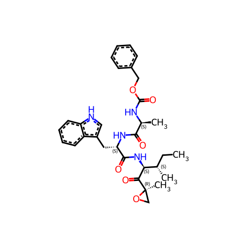 CC[C@H](C)[C@H](NC(=O)[C@H](Cc1c[nH]c2ccccc12)NC(=O)[C@H](C)NC(=O)OCc1ccccc1)C(=O)[C@@]1(C)CO1